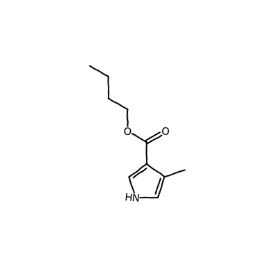 CCCCOC(=O)c1c[nH]cc1C